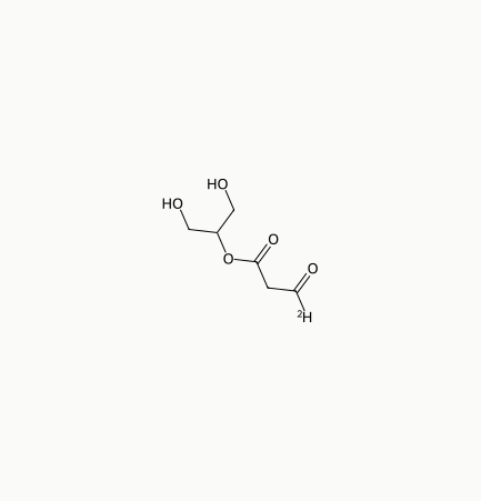 [2H]C(=O)CC(=O)OC(CO)CO